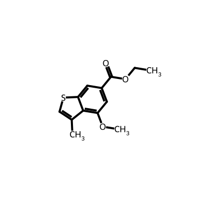 CCOC(=O)c1cc(OC)c2c(C)csc2c1